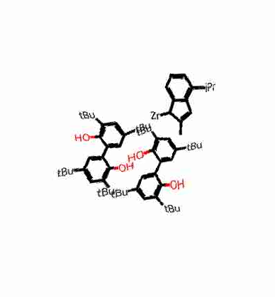 CC(C)(C)c1cc(-c2cc(C(C)(C)C)cc(C(C)(C)C)c2O)c(O)c(C(C)(C)C)c1.CC(C)(C)c1cc(-c2cc(C(C)(C)C)cc(C(C)(C)C)c2O)c(O)c(C(C)(C)C)c1.CC1=Cc2c(C(C)C)cccc2[CH]1[Zr]